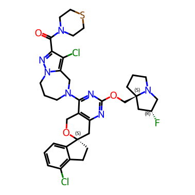 O=C(c1nn2c(c1Cl)CN(c1nc(OC[C@@]34CCCN3C[C@H](F)C4)nc3c1CO[C@@]1(CCc4c(Cl)cccc41)C3)CCC2)N1CCSCC1